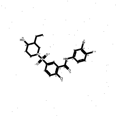 CCC1CN(S(=O)(=O)c2ccc(Cl)c(C(=O)Nc3ccc(F)c(Br)c3)c2)CCC1O